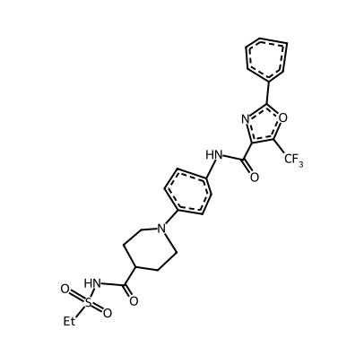 CCS(=O)(=O)NC(=O)C1CCN(c2ccc(NC(=O)c3nc(-c4ccccc4)oc3C(F)(F)F)cc2)CC1